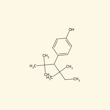 CCC(C)(C)C(c1ccc(O)cc1)C(C)(C)C